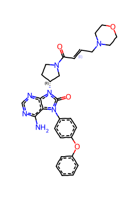 Nc1ncnc2c1n(-c1ccc(Oc3ccccc3)cc1)c(=O)n2[C@@H]1CCN(C(=O)/C=C/CN2CCOCC2)C1